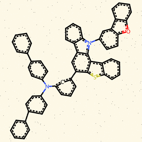 c1ccc(-c2ccc(N(c3ccc(-c4ccccc4)cc3)c3cccc(-c4cc5c6ccccc6n(-c6ccc7oc8ccccc8c7c6)c5c5c4sc4ccccc45)c3)cc2)cc1